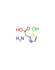 Cl.N[C@H](C(=O)O)c1nccs1